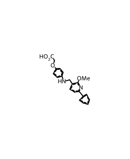 COc1nc(-c2ccccc2)ccc1CNc1ccc(OCC(=O)O)cc1